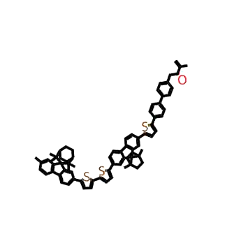 C=C(C)C(=O)Cc1ccc(-c2ccc(-c3ccc(-c4ccc5c(c4)C4(c6cc(-c7ccc(-c8ccc(-c9ccc%10c(c9)C9(c%11cc(C)ccc%11-%10)C(C)(C)C%10CCC(CC%10)C9(C)C)s8)s7)ccc6-5)C5(C)CCC4(C)CC5)s3)cc2)cc1